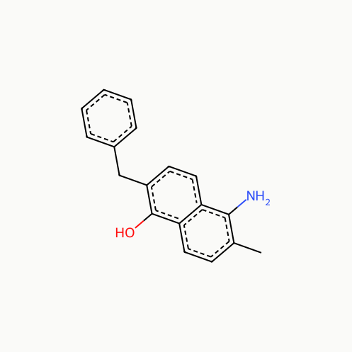 Cc1ccc2c(O)c(Cc3ccccc3)ccc2c1N